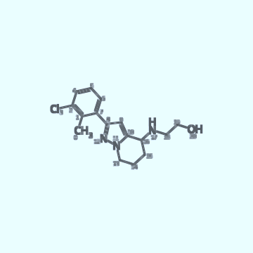 Cc1c(Cl)cccc1-c1cc2n(n1)CCCC2NCCO